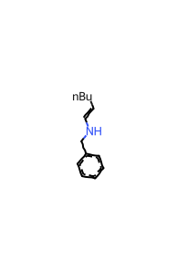 CCCCC=CNCc1ccccc1